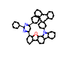 c1ccc(-c2cc(-c3cccc4c3oc3c4ccc4c5ccccc5n(-c5ccc6c7ccccc7c7ccccc7c6c5)c43)nc(-c3ccccc3)n2)cc1